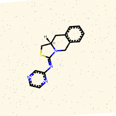 c1ccc2c(c1)C[C@H]1CSC(=Nc3cnccn3)N1C2